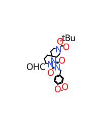 CC(C)(C)OC(=O)N1CCC2(CCC(C=O)n3c(=O)n(Cc4ccc5c(c4)OCO5)c(=O)n32)CC1